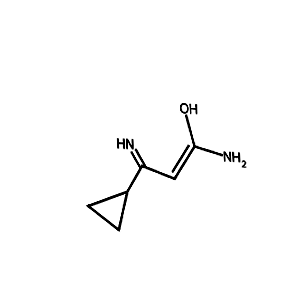 N=C(/C=C(/N)O)C1CC1